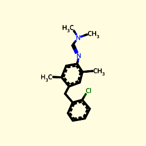 Cc1cc(N=CN(C)C)c(C)cc1Cc1ccccc1Cl